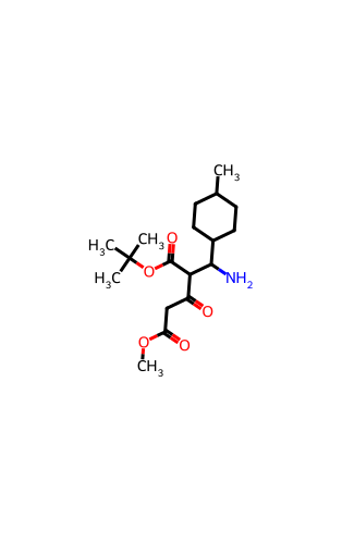 COC(=O)CC(=O)C(C(=O)OC(C)(C)C)C(N)C1CCC(C)CC1